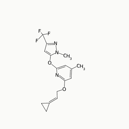 Cc1cc(OCC=C2CC2)nc(Oc2cc(C(F)(F)F)nn2C)c1